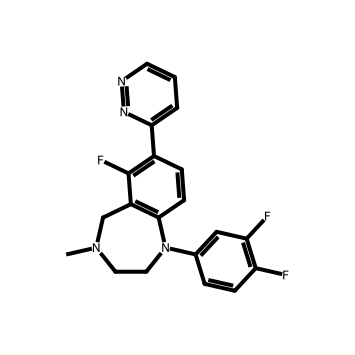 CN1CCN(c2ccc(F)c(F)c2)c2ccc(-c3cccnn3)c(F)c2C1